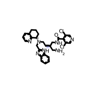 NC/C(=C/CN(Cc1nc2ccccc2[nH]1)[C@H]1CCCc2cccnc21)CNC(=O)c1c(Cl)cncc1Cl